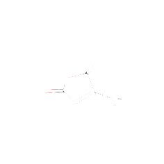 O=C1C=[C]([GeH3])C(=O)O1